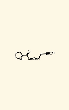 C#CCN=C=NC(=O)[C@@H]1CCCN1